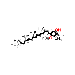 CCCCOC1C(CCC(C)CCC/C(C)=C/CC/C(C)=C/CCC(C)C(=O)O)=CC(O)C(C)=C1C